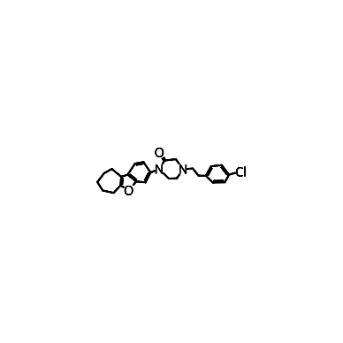 O=C1CN(CCc2ccc(Cl)cc2)CCN1c1ccc2c3c(oc2c1)CCCCC3